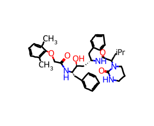 Cc1cccc(C)c1OCC(=O)N[C@@H](Cc1ccccc1)[C@@H](O)C[C@H](Cc1ccccc1)NC(=O)C(C(C)C)N1CCCNC1=O